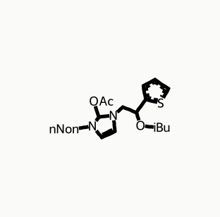 CCCCCCCCCN1C=CN(CC(OC(C)CC)c2cccs2)C1OC(C)=O